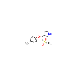 CS(=O)(=O)C[C@@H](Oc1ccc(C(F)(F)F)cc1)C1CCNC1